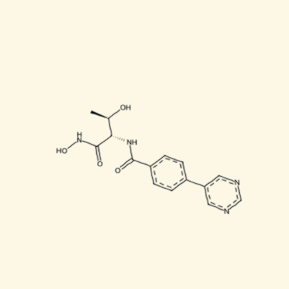 C[C@@H](O)[C@H](NC(=O)c1ccc(-c2cncnc2)cc1)C(=O)NO